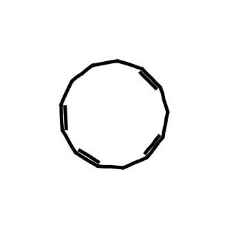 C1=CCC=CCC=CCCCC=C1